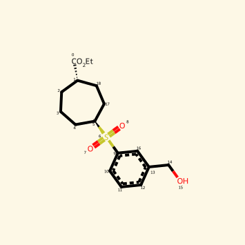 CCOC(=O)[C@H]1CCC[C@H](S(=O)(=O)c2cccc(CO)c2)CC1